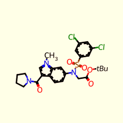 Cn1cc(C(=O)N2CCCC2)c2ccc(N(CC(=O)OC(C)(C)C)S(=O)(=O)c3cc(Cl)cc(Cl)c3)cc21